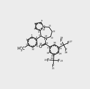 Cc1ccc(C2c3cccn3CCCN2C(=O)c2cc(C(F)(F)F)cc(C(F)(F)F)c2)cc1